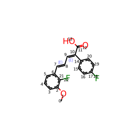 COc1cccc(/C=C/C=C(/C(=O)O)c2ccc(F)cc2)c1F